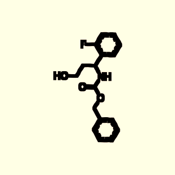 O=C(NC(CCO)c1ccccc1F)OCc1ccccc1